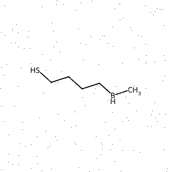 CBCCCCS